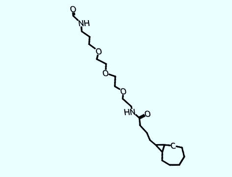 O=CNCCCOCCOCCOCCNC(=O)CCCC1C2CCCCCCC21